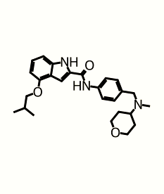 CC(C)COc1cccc2[nH]c(C(=O)Nc3ccc(CN(C)C4CCOCC4)cc3)cc12